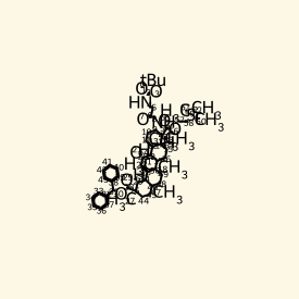 CC(C)(C)OC(=O)NCC(=O)N[C@H]1CC[C@@]2(C)[C@@H](CC[C@]3(C)[C@@H]2C(=O)C=C2[C@@H]4C[C@@](C)(C(=O)OC(c5ccccc5)c5ccccc5)CC[C@]4(C)CC[C@]23C)[C@]1(C)C(=O)OCC[Si](C)(C)C